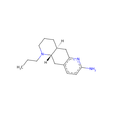 CCCN1CCC[C@H]2Cc3nc(N)ccc3C[C@@H]21